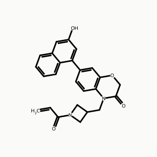 C=CC(=O)N1CC(CN2C(=O)COc3cc(-c4cc(O)cc5ccccc45)ccc32)C1